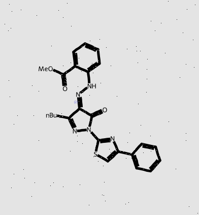 CCCCC1=NN(c2nc(-c3ccccc3)cs2)C(=O)/C1=N\Nc1ccccc1C(=O)OC